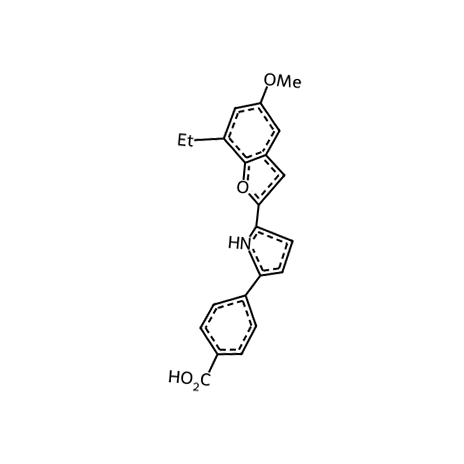 CCc1cc(OC)cc2cc(-c3ccc(-c4ccc(C(=O)O)cc4)[nH]3)oc12